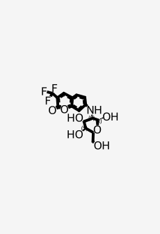 O=c1oc2cc(N[C@H]3C(O)[C@H](O)C(CO)O[C@H]3O)ccc2cc1C(F)(F)F